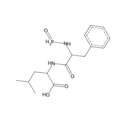 CC(C)CC(NC(=O)C(Cc1ccccc1)N[PH2]=O)C(=O)O